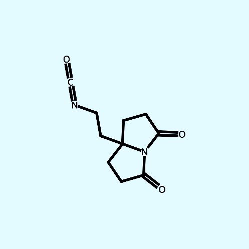 O=C=NCCC12CCC(=O)N1C(=O)CC2